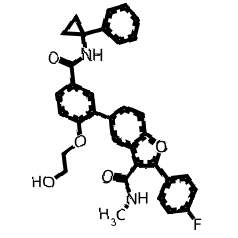 CNC(=O)c1c(-c2ccc(F)cc2)oc2ccc(-c3cc(C(=O)NC4(c5ccccc5)CC4)ccc3OCCO)cc12